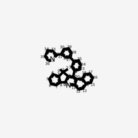 CC1(C)c2ccccc2-c2nc3ccc4ccccc4c3c(-c3cccc(-c4cccc(-c5ccccn5)c4)c3)c21